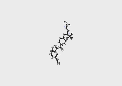 C/C(F)=C\C=C(/CC1CCN(C(=O)c2nnc3ccc(C#N)cn23)CC1)C(F)(F)F